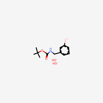 [B+2]c1cccc(CNC(=O)OC(C)(C)C)c1.[OH-].[OH-]